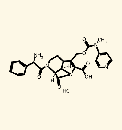 CN(C(=O)OCC1=C(C(=O)O)N2C(=O)[C@@H]3[C@H]2C1CCN3C(=O)[C@H](N)c1ccccc1)c1ccncc1.Cl